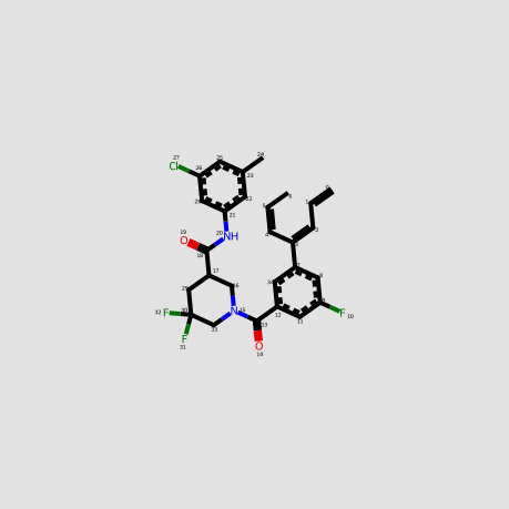 C=C/C=C(\C=C/C)c1cc(F)cc(C(=O)N2CC(C(=O)Nc3cc(C)cc(Cl)c3)CC(F)(F)C2)c1